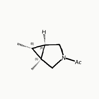 CC(=O)N1C[C@@H]2[C@@H](C)[C@]2(C)C1